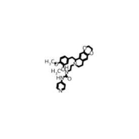 COc1ccc(CC2c3cc4c(cc3CCN2CCNC(=O)Nc2ccncc2)OCCO4)cc1OC